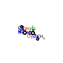 Cn1cnnc1C(O)(c1cccc(N2Cc3c(cc(CNC4(C)CCC4)cc3C(F)(F)F)C2=O)c1)C1CCC1